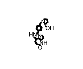 O=C1C=CC2=CNC(c3ccc(CN4CCC[C@H]4CO)cc3)N3CCC(=C23)N1